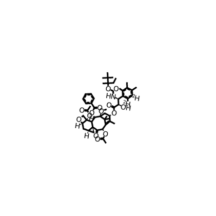 [2H]c1c([2H])c([C@H](NC(=O)OC(C)(CC)C(C)(C)C)[C@@H](O)C(=O)O[C@H]2C[C@@]3(OC)[C@@H](OC(=O)c4ccccc4)[C@@H]4[C@]5(OC(C)=O)CO[C@@H]5C[C@@H]5C[C@@]54C(=O)[C@H](OC(C)=O)C(=C2C)C3(C)C)c(C)c(C)c1C